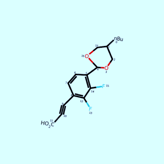 CCCCC1COC(c2ccc(C#CC(=O)O)c(F)c2F)OC1